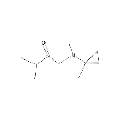 CC(C)C(=O)CN(C)C1(C)CC1